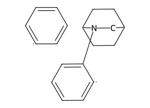 [c]1ccccc1.[c]1ccccc1N1CC2CCC1CC2